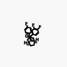 O=C(c1ccc(F)c(F)c1)N1[C@@H]2CC[C@H]1C[C@@H](c1ccc(F)cc1)C2